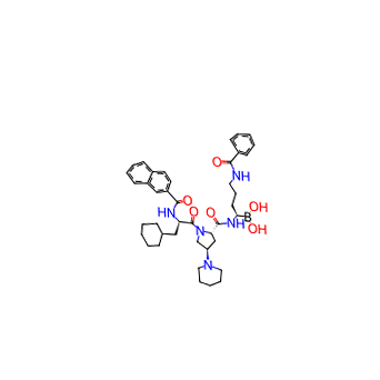 O=C(NCCC[C@H](NC(=O)[C@@H]1C[C@@H](N2CCCCC2)CN1C(=O)[C@@H](CC1CCCCC1)NC(=O)c1ccc2ccccc2c1)B(O)O)c1ccccc1